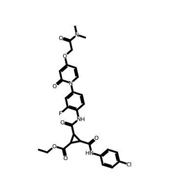 CCOC(=O)C1C(C(=O)Nc2ccc(Cl)cc2)C1C(=O)Nc1ccc(-n2ccc(OCC(=O)N(C)C)cc2=O)cc1F